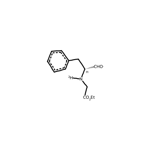 [2H]N(CC(=O)OCC)[C@@H]([C]=O)Cc1ccccc1